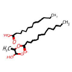 CCCCCCCCCCCC(=O)O.CCCCCCCCCCCC(=O)OC(C)C(=O)O